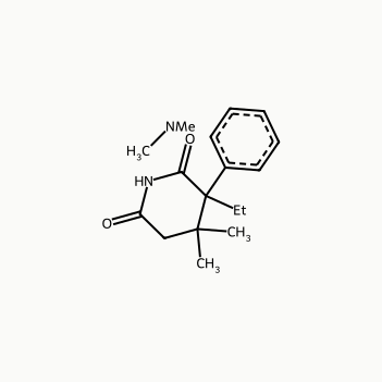 CCC1(c2ccccc2)C(=O)NC(=O)CC1(C)C.CNC